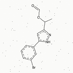 CC(OC=O)c1cc(-c2cccc(Br)c2)[nH]n1